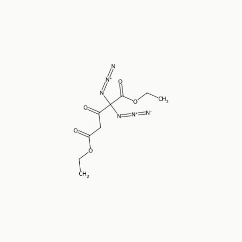 CCOC(=O)CC(=O)C(N=[N+]=[N-])(N=[N+]=[N-])C(=O)OCC